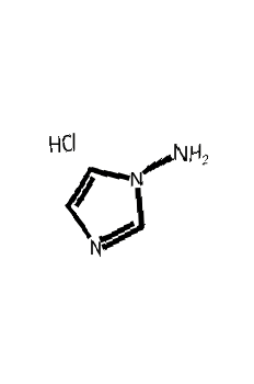 Cl.Nn1ccnc1